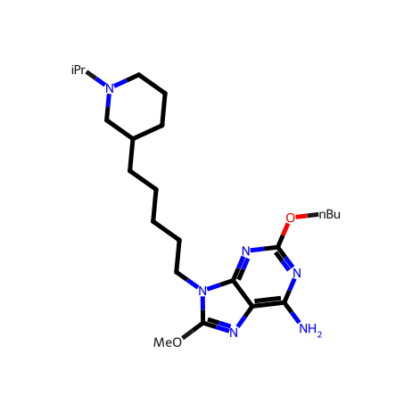 CCCCOc1nc(N)c2nc(OC)n(CCCCCC3CCCN(C(C)C)C3)c2n1